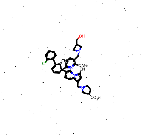 COc1nc(C2(c3ccc4c(CN5CC[C@@H](C(=O)O)C5)cc(C#N)n4c3)C=CC=C(c3ccccc3Cl)C2C)ccc1CN1CC(CO)C1